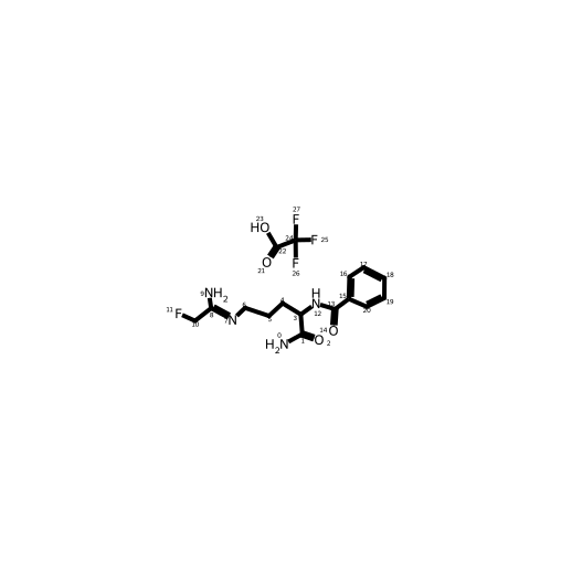 NC(=O)C(CCCN=C(N)CF)NC(=O)c1ccccc1.O=C(O)C(F)(F)F